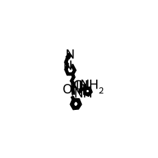 N#CCN1CCC(CCNC(=O)[C@@H](Cc2ccccc2)NC(=O)C2(N)CCCC2)CC1